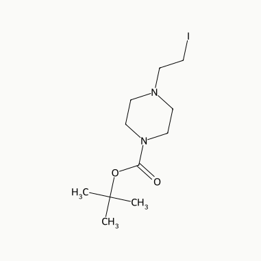 CC(C)(C)OC(=O)N1CCN(CCI)CC1